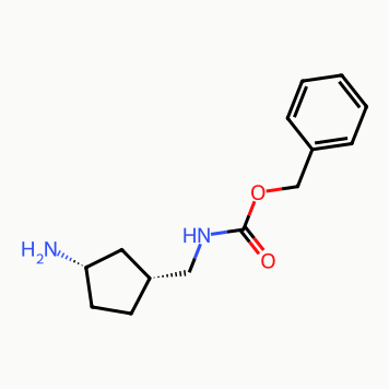 N[C@H]1CC[C@@H](CNC(=O)OCc2ccccc2)C1